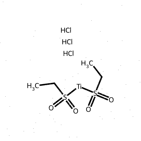 CC[S](=O)(=O)[Ti][S](=O)(=O)CC.Cl.Cl.Cl